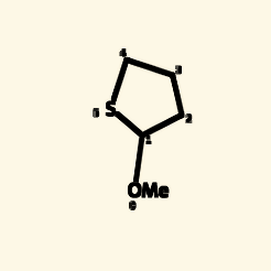 [CH2]OC1CCCS1